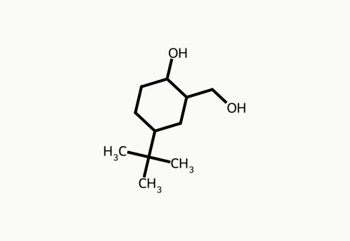 CC(C)(C)C1CCC(O)C(CO)C1